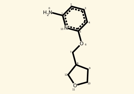 Nc1cccc(OCC2CCOC2)n1